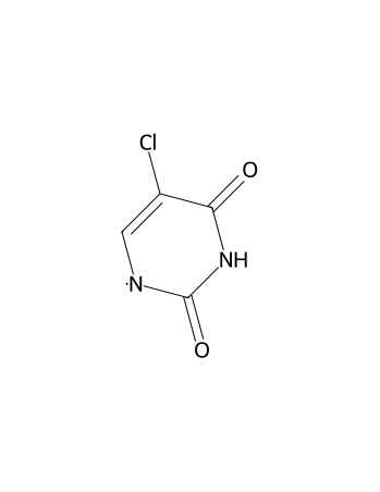 O=C1[N]C=C(Cl)C(=O)N1